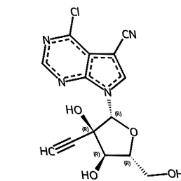 C#C[C@@]1(O)[C@H](O)[C@@H](CO)O[C@H]1n1cc(C#N)c2c(Cl)ncnc21